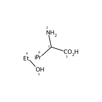 CC(C)C(N)C(=O)O.CCO